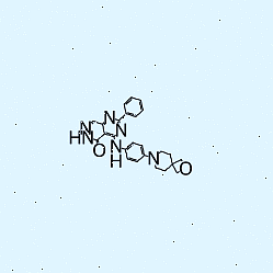 O=c1[nH]ncc2nc(-c3ccccc3)nc(Nc3ccc(N4CCC5(CC4)COC5)cc3)c12